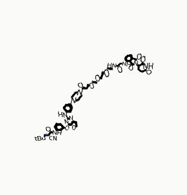 CC(C)(C)/C=C(\C#N)C(=O)Nc1cccc(Oc2nc(Nc3ccc(N4CCN(C(=O)CCOCCOCCOCCNC(=O)CNc5cccc6c5C(=O)N(C5CCC(=O)NC5=O)C6=O)CC4)cc3)nc3ccoc23)c1